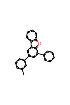 Cc1cccc(-c2cc(-c3ccccc3)c3oc4ccccc4c3c2)c1